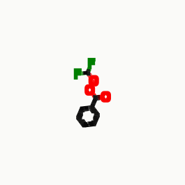 O=C(OOC(F)F)c1ccccc1